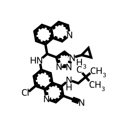 CC(C)(C)CNc1c(C#N)cnc2c(Cl)cc(NC(c3cn(C4CC4)nn3)c3cccc4ccncc34)cc12